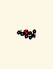 c1ccc(-c2nnn(-c3ccccc3)c2-c2ccc3c4ccccc4n(-c4ccccc4-n4c5ccccc5c5c6sc7ccccc7c6ccc54)c3c2)cc1